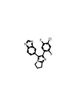 Fc1cc(-c2nc3n(c2-c2ccc4ncsc4c2)CCC3)c(F)cc1Cl